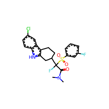 CN(C)C(=O)C(F)(C1CCc2c([nH]c3ccc(Cl)cc23)C1)S(=O)(=O)c1cccc(F)c1